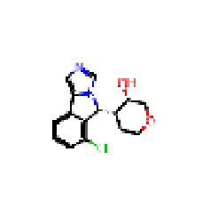 O[C@H]1COCC[C@@H]1C1c2c(Cl)cccc2-c2cncn21